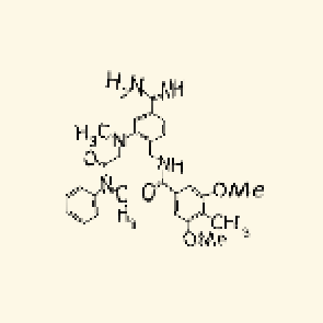 COc1cc(C(=O)NCc2ccc(C(=N)N)cc2N(C)CC(=O)N(C)c2ccccc2)cc(OC)c1C